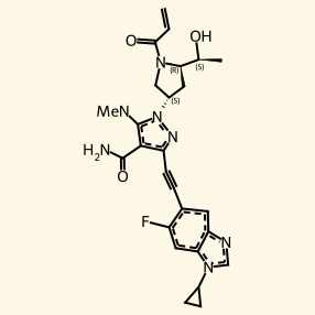 C=CC(=O)N1C[C@@H](n2nc(C#Cc3cc4ncn(C5CC5)c4cc3F)c(C(N)=O)c2NC)C[C@@H]1[C@H](C)O